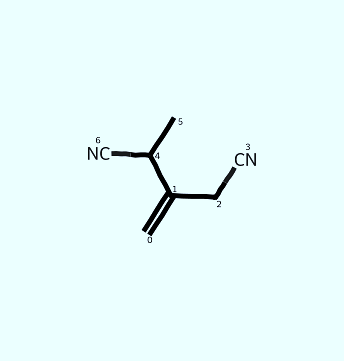 C=C(CC#N)C(C)C#N